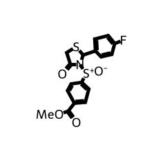 COC(=O)c1ccc([S+]([O-])N2C(=O)CSC2c2ccc(F)cc2)cc1